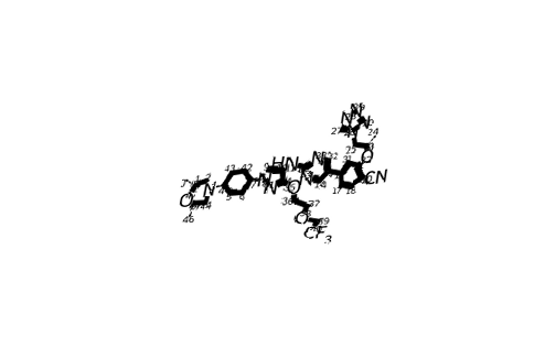 C[C@@H]1CN([C@H]2CC[C@H](n3cc(Nc4ncc(-c5ccc(C#N)c(O[C@@H](C)Cn6cnnn6)c5)cn4)c(OCCOCC(F)(F)F)n3)CC2)C[C@H](C)O1